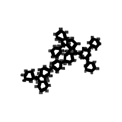 c1ccc(-c2cc(-c3ccccc3)nc(-n3c4ccc(-c5ccc(-c6ccc7c(c6)c6ccccc6n7-c6ccccc6)cc5)cc4c4c3ccc3c5ccccc5n(-c5ccccc5)c34)n2)cc1